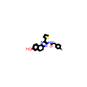 O=C(Cc1ccc(I)cc1)Nc1nc2c(nc1-c1cccs1)-c1ccc(O)cc1CC2